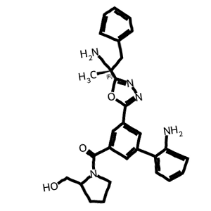 C[C@@](N)(Cc1ccccc1)c1nnc(-c2cc(C(=O)N3CCCC3CO)cc(-c3ccccc3N)c2)o1